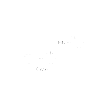 COc1ccccc1C1CCCN(CCNc2ccccn2)C1